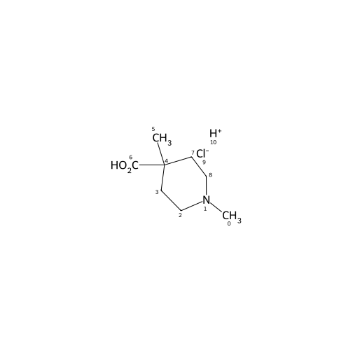 CN1CCC(C)(C(=O)O)CC1.[Cl-].[H+]